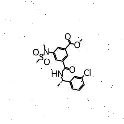 COC(=O)c1cc(C(=O)N[C@H](C)c2cccc(Cl)c2)cc(N(C)S(C)(=O)=O)c1